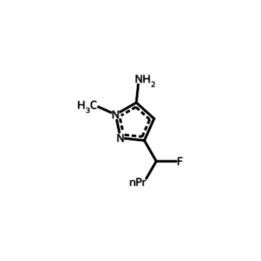 CCCC(F)c1cc(N)n(C)n1